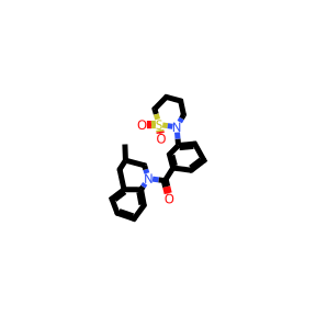 CC1Cc2ccccc2N(C(=O)c2cccc(N3CCCCS3(=O)=O)c2)C1